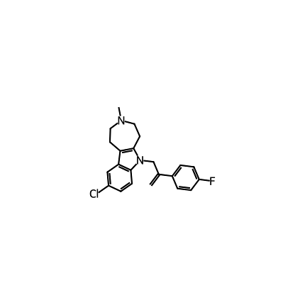 C=C(Cn1c2c(c3cc(Cl)ccc31)CCN(C)CC2)c1ccc(F)cc1